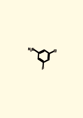 Fc1cc([SiH3])cc(Cl)c1